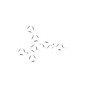 N#Cc1ccc(S(=O)(=O)c2ccc(-n3c4cc5oc6ccccc6c5cc4c4cc5c(cc43)c3ccccc3n5-c3ccccc3)cc2)cc1